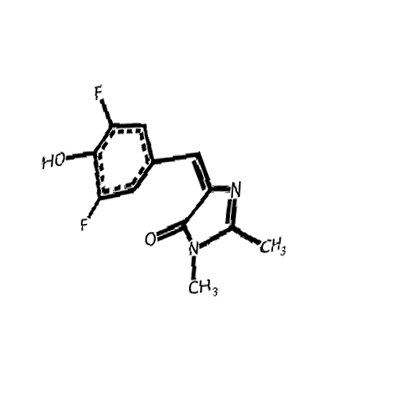 CC1=NC(=Cc2cc(F)c(O)c(F)c2)C(=O)N1C